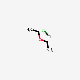 CCOCC.[Cl][Ti]